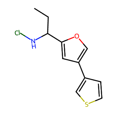 CCC(NCl)c1cc(-c2ccsc2)co1